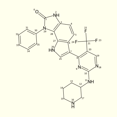 O=c1[nH]c2ccc3c(-c4nc(NC5CCCNC5)ncc4C(F)(F)F)c[nH]c3c2n1-c1ccccc1